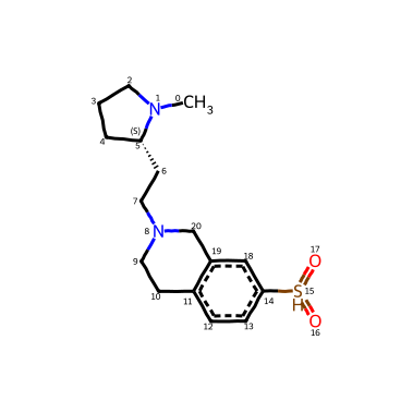 CN1CCC[C@H]1CCN1CCc2ccc([SH](=O)=O)cc2C1